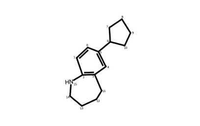 c1cc2c(cc1C1CCCC1)CCCCN2